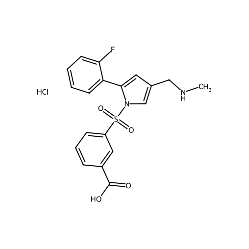 CNCc1cc(-c2ccccc2F)n(S(=O)(=O)c2cccc(C(=O)O)c2)c1.Cl